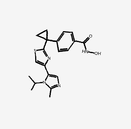 Cc1ncc(-c2csc(C3(c4ccc(C(=O)NO)cc4)CC3)n2)n1C(C)C